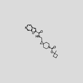 CC1(OC(=O)N2CCC3(CC2)CC3CNC(=O)c2cc3ccncc3o2)CCC1